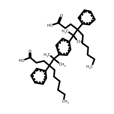 CCCCCCC(CCC(=O)O)(c1ccccc1)C(C)(C)c1ccc(C(C)(C)C(CCCCCC)(CCC(=O)O)c2ccccc2)cc1